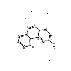 [O]c1ccc2ccc3ccccc3c2c1